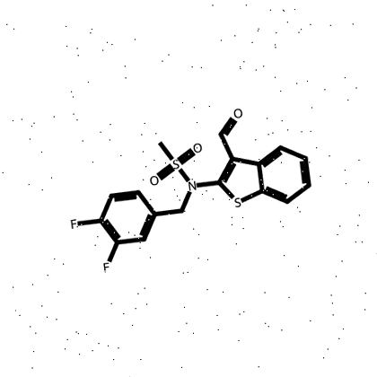 CS(=O)(=O)N(Cc1ccc(F)c(F)c1)c1sc2ccccc2c1C=O